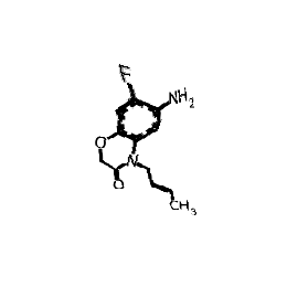 C/C=C/CN1C(=O)COc2cc(F)c(N)cc21